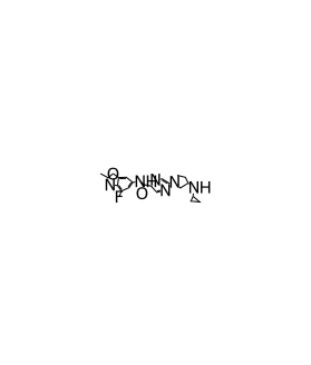 Cc1nc2c(F)cc(NC(=O)c3cnc(N4CCC(NC5CC5)C4)cn3)cc2o1